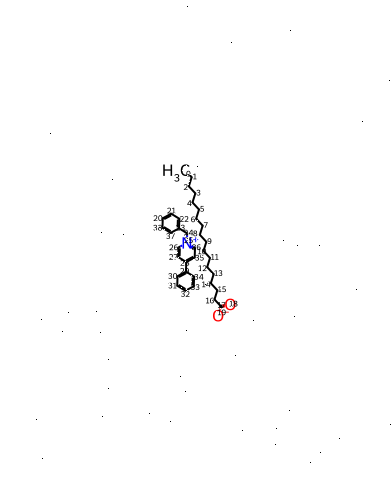 CCCCCCCCCCCCCCCCCC(=O)[O-].c1ccc(C[n+]2ccc(-c3ccccc3)cc2)cc1